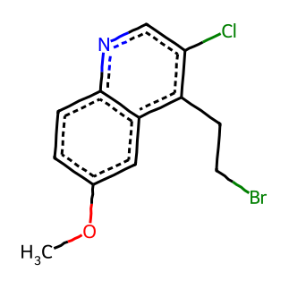 COc1ccc2ncc(Cl)c(CCBr)c2c1